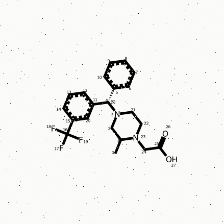 CC1CN([C@@H](c2ccccc2)c2cccc(C(F)(F)F)c2)CCN1CC(=O)O